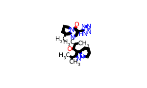 CC(C)C(=O)c1c(C(C)C)nn2ccccc12.Cc1cccn2c(=O)c(-c3nnn[nH]3)cnc12